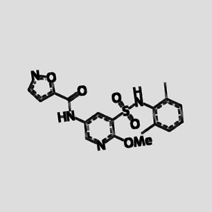 COc1ncc(NC(=O)c2ccno2)cc1S(=O)(=O)Nc1c(C)cccc1C